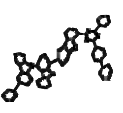 c1ccc(-c2ccc(-c3nc(-c4ccccc4)nc(-c4cccc5c4oc4ccc(-c6ccc(-n7c8ccccc8c8cc(-c9ccccc9)ccc87)c7c6oc6ccccc67)cc45)n3)cc2)cc1